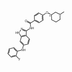 CN1CCC[C@@H](Oc2ccc(C(=O)Nc3n[nH]c4cc(Nc5ccccc5F)ccc34)cc2)C1